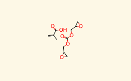 C=C(C)C(=O)O.O=C(OCC1CO1)OCC1CO1